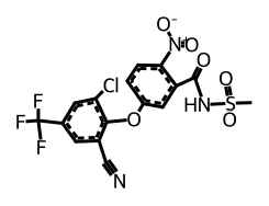 CS(=O)(=O)NC(=O)c1cc(Oc2c(Cl)cc(C(F)(F)F)cc2C#N)ccc1[N+](=O)[O-]